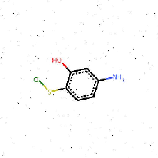 Nc1ccc(SCl)c(O)c1